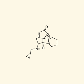 O=C1C=C2CC(NCC3CC3)[C@H]3N4CCCC[C@@H]4C23O1